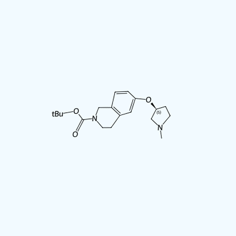 CN1CC[C@H](Oc2ccc3c(c2)CCN(C(=O)OC(C)(C)C)C3)C1